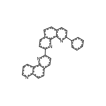 c1ccc(-c2ccc3ccc4ccc(-c5ccc6ccc7ncccc7c6n5)nc4c3n2)cc1